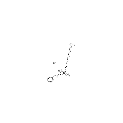 CCCCCCCCCCCC[N+](C)(C)CCOCc1ccccc1.[Br-]